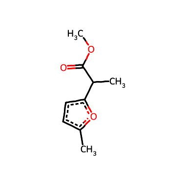 COC(=O)C(C)c1ccc(C)o1